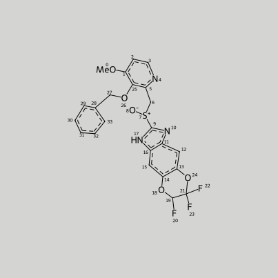 COc1ccnc(C[S+]([O-])c2nc3cc4c(cc3[nH]2)OC(F)C(F)(F)O4)c1OCc1ccccc1